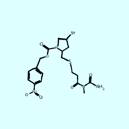 CN(C(N)=O)C(=O)CCSCC1CC(S)CN1C(=O)OCc1ccc([N+](=O)[O-])cc1